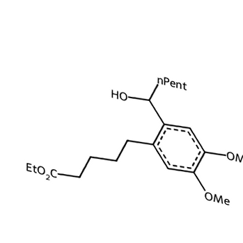 CCCCCC(O)c1cc(OC)c(OC)cc1CCCCC(=O)OCC